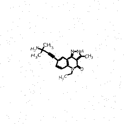 CCn1c(=O)c2c(C)[nH]nc2c2cc(C#CC(C)(C)N)ccc21